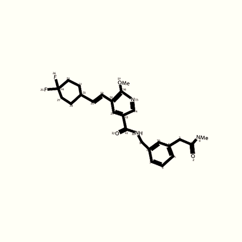 CNC(=O)Cc1cccc(CNC(=O)c2cnc(OC)c(C=CC3CCC(F)(F)CC3)c2)c1